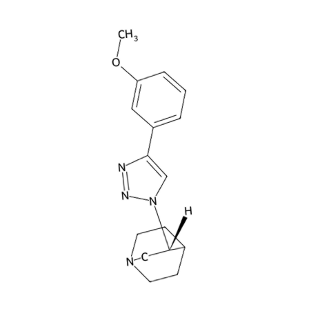 COc1cccc(-c2cn([C@H]3CN4CCC3CC4)nn2)c1